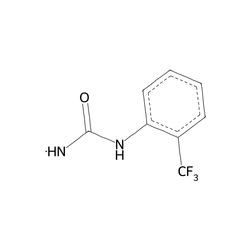 [NH]C(=O)Nc1ccccc1C(F)(F)F